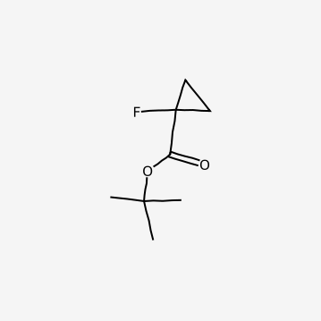 CC(C)(C)OC(=O)C1(F)CC1